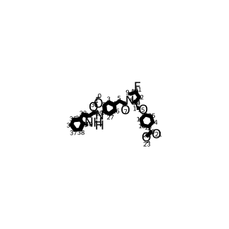 COc1cc(CC(=O)N2C[C@@H](F)C[C@H]2CO[C@H]2CC[C@H](C(=O)OC)CC2)ccc1NC(=O)c1cc2ccccc2[nH]1